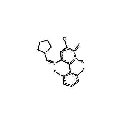 CCn1c(-c2c(F)cccc2F)c(/N=C\N2CCCC2)cc(Cl)c1=O